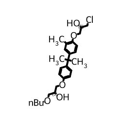 CCCCOC[C@H](O)COc1ccc(C(C)(C)c2ccc(OC[C@@H](O)CCl)c(C)c2)cc1